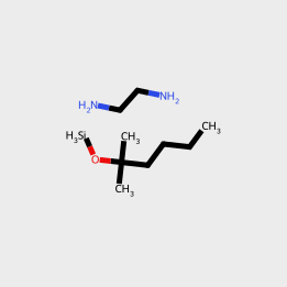 CCCCC(C)(C)O[SiH3].NCCN